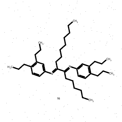 CCCCCCCCC(=Nc1ccc(CCC)c(CCC)c1)C(CCCCCC)=Nc1ccc(CCC)c(CCC)c1.[Ni]